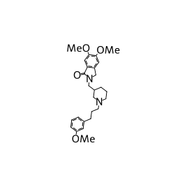 COc1cccc(CCCN2CCCC(CN3Cc4cc(OC)c(OC)cc4C3=O)C2)c1